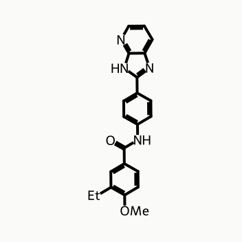 CCc1cc(C(=O)Nc2ccc(-c3nc4cccnc4[nH]3)cc2)ccc1OC